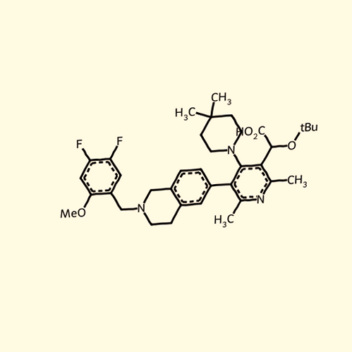 COc1cc(F)c(F)cc1CN1CCc2cc(-c3c(C)nc(C)c(C(OC(C)(C)C)C(=O)O)c3N3CCC(C)(C)CC3)ccc2C1